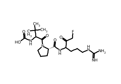 CC(C)(C)C(NC(=O)O)C(=O)N1CCC[C@H]1C(=O)NC(CCCNC(=N)N)C(=O)CF